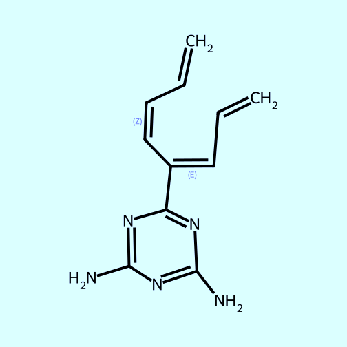 C=C/C=C\C(=C/C=C)c1nc(N)nc(N)n1